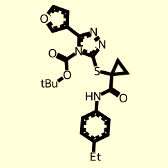 CCc1ccc(NC(=O)C2(Sc3nnc(-c4ccoc4)n3C(=O)OC(C)(C)C)CC2)cc1